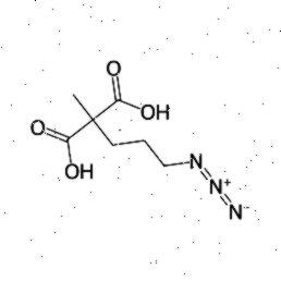 CC(CCCN=[N+]=[N-])(C(=O)O)C(=O)O